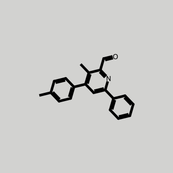 Cc1ccc(-c2cc(-c3ccccc3)nc(C=O)c2C)cc1